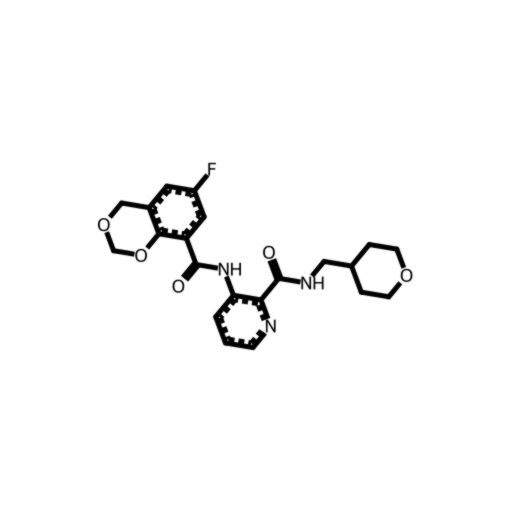 O=C(Nc1cccnc1C(=O)NCC1CCOCC1)c1cc(F)cc2c1OCOC2